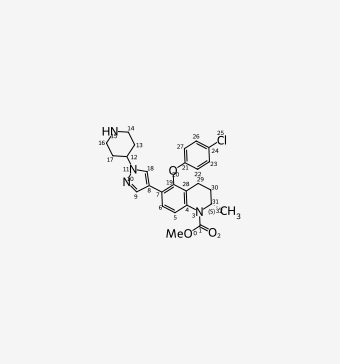 COC(=O)N1c2ccc(-c3cnn(C4CCNCC4)c3)c(Oc3ccc(Cl)cc3)c2CC[C@@H]1C